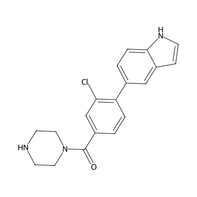 O=C(c1ccc(-c2ccc3[nH]ccc3c2)c(Cl)c1)N1CCNCC1